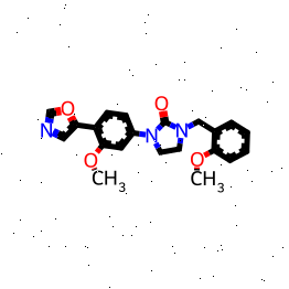 COc1ccccc1CN1CCN(c2ccc(-c3cnco3)c(OC)c2)C1=O